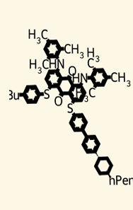 CCCCC[C@H]1CC[C@H](c2ccc(-c3ccc(Sc4ccc(Nc5c(C)cc(C)cc5C)c5c4C(=O)c4c(Sc6ccc(C(C)(C)C)cc6)ccc(Nc6c(C)cc(C)cc6C)c4C5=O)cc3)cc2)CC1